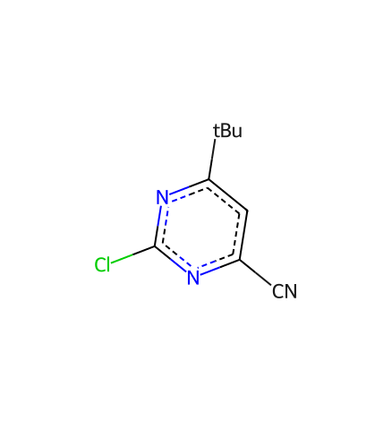 CC(C)(C)c1cc(C#N)nc(Cl)n1